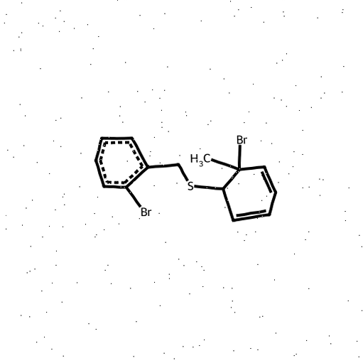 CC1(Br)C=CC=CC1SCc1ccccc1Br